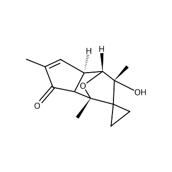 CC1=C[C@@H]2C(C1=O)[C@]1(C)O[C@H]2[C@](C)(O)C12CC2